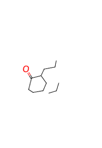 CCC.CCCC1CCCCC1=O